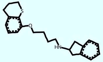 c1ccc2c(c1)CC(NCCCCOc1cccc3c1SCCC3)C2